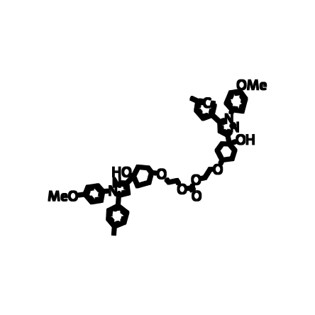 COc1ccc(-n2nc(C3(O)CCC(OCCOC(=O)OCCOC4CCC(O)(c5cc(-c6ccc(C)cc6)n(-c6ccc(OC)cc6)n5)CC4)CC3)cc2-c2ccc(C)cc2)cc1